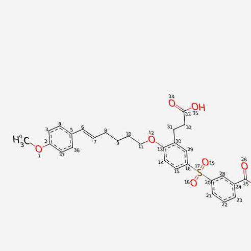 COc1ccc(C=CCCCCOc2ccc(S(=O)(=O)c3cccc(C(=O)O)c3)cc2CCC(=O)O)cc1